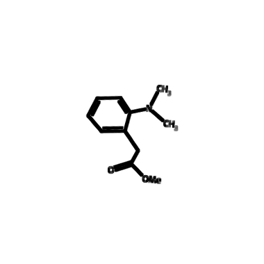 COC(=O)Cc1ccccc1N(C)C